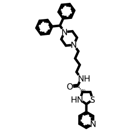 O=C(NCCCCN1CCN(C(c2ccccc2)c2ccccc2)CC1)[C@@H]1CSC(c2cccnc2)N1